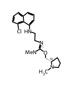 CN/C(=N\CCNc1cccc2cccc(Cl)c12)OC[C@@H]1CCCN1C